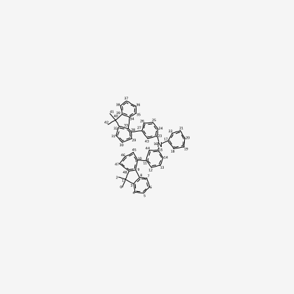 CC1(C)c2ccccc2-c2c(-c3cccc(N(c4ccccc4)c4cccc(-c5cccc6c5-c5ccccc5C6(C)C)c4)c3)cccc21